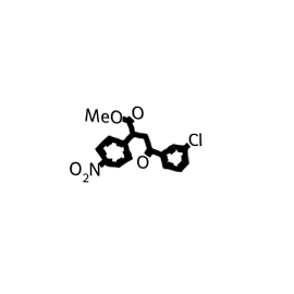 COC(=O)C(CC(=O)c1cccc(Cl)c1)c1ccc([N+](=O)[O-])cc1